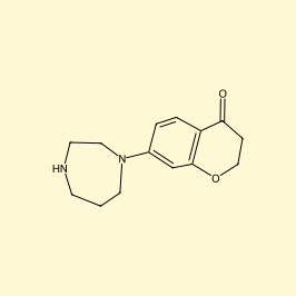 O=C1CCOc2cc(N3CCCNCC3)ccc21